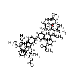 CCn1c(-c2cccnc2[C@H](C)OC)c(CC(C)(C)COC=O)c2cc(-c3cc(O)cc(C[C@H](NC(=O)C(C(C)C)N(C)C(=O)[C@H]4CCN(C(C)=O)C4)C(=O)N4CCC[C@@H](C)N4)c3)ccc21